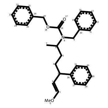 CO/C=C/C(CCC(C)N(Cc1ccccc1)C(=O)OCc1ccccc1)c1ccccc1